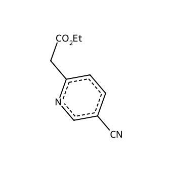 CCOC(=O)Cc1ccc(C#N)cn1